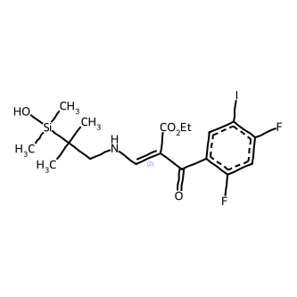 CCOC(=O)/C(=C\NCC(C)(C)[Si](C)(C)O)C(=O)c1cc(I)c(F)cc1F